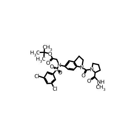 CNC(=O)C1CCCN1C(=O)N1CCc2cc(N(CC(=O)OC(C)(C)C)S(=O)(=O)c3cc(Cl)cc(Cl)c3)ccc21